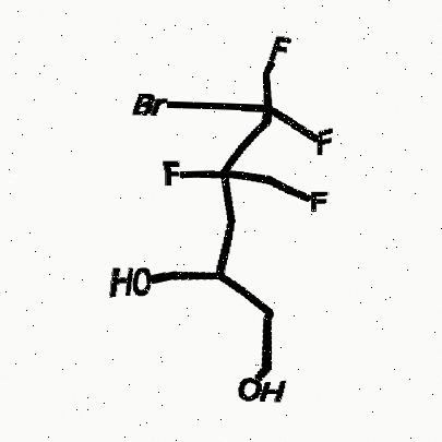 OCC(O)C(F)(F)C(F)(F)Br